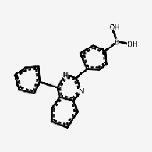 OB(O)c1ccc(-c2nc(-c3ccccc3)c3ccccc3n2)cc1